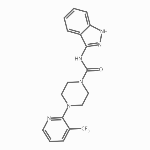 O=C(Nc1n[nH]c2ccccc12)N1CCN(c2ncccc2C(F)(F)F)CC1